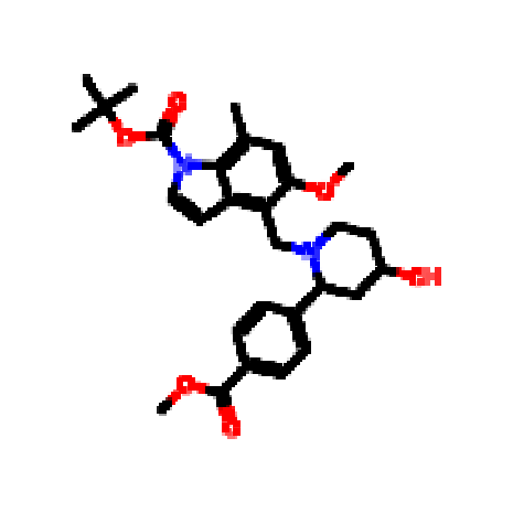 COC(=O)c1ccc(C2CC(O)CCN2Cc2c(OC)cc(C)c3c2ccn3C(=O)OC(C)(C)C)cc1